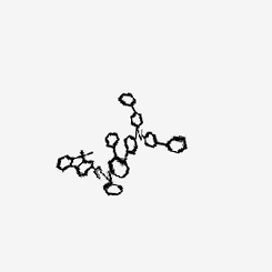 CC1(C)c2ccccc2-c2ccc(N(c3ccccc3)c3ccc(-c4ccc(N(c5ccc(-c6ccccc6)cc5)c5ccc(-c6ccccc6)cc5)cc4)c(-c4ccccc4)c3)cc21